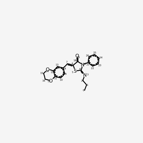 CCC/N=C1\S/C(=C\c2ccc3c(c2)OCCO3)C(=O)N1c1ccccc1